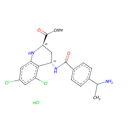 COC(=O)[C@H]1C[C@H](NC(=O)c2ccc(C(C)N)cc2)c2c(Cl)cc(Cl)cc2N1.Cl